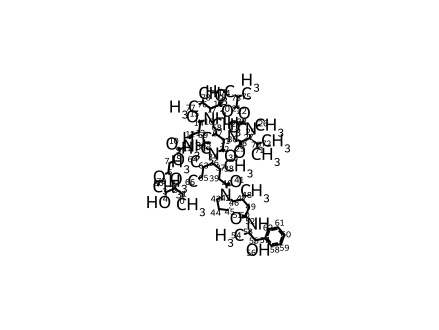 CCC(CO)OC(COC(=O)NCCC(=O)N[C@H](C(=O)OC(OC(=O)N(C)[C@H](C(=O)N[C@H](C(=O)N(C)[C@H]([C@H](C)CC(=O)N1CCC[C@H]1[C@H](C)CC(=O)N[C@H](C)[C@@H](O)c1ccccc1)[C@@H](C)CC)C(C)C)C(C)C)C(C)C)C(C)C)OC